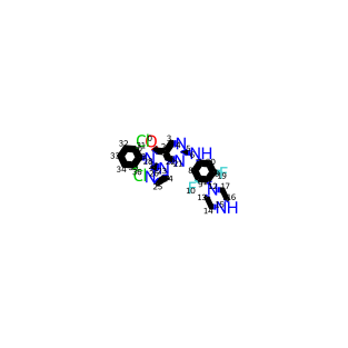 O=c1c2cnc(Nc3cc(F)c(N4CCNCC4)c(F)c3)nc2n2ccnc2n1-c1c(Cl)cccc1Cl